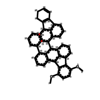 COc1ccc(OC)c2c1-c1cccc3c(-c4ccc5c6c(cccc46)C4=C5CCC=C4)c4c(-c5ccccc5)cccc4c-2c13